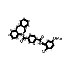 COc1ccc(Cl)c(NC(=O)c2ccc(C(=O)N3Cc4ccccc4Cc4ccccc43)cc2)c1